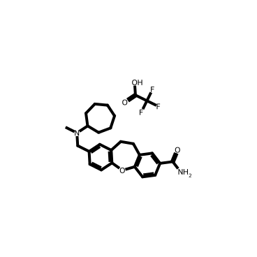 CN(Cc1ccc2c(c1)CCc1cc(C(N)=O)ccc1O2)C1CCCCCC1.O=C(O)C(F)(F)F